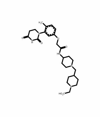 Cc1ccc(OCC(=O)NC2CCN(CC3CCN(CC(=O)O)CC3)CC2)cc1N1CCC(=O)NC1=O